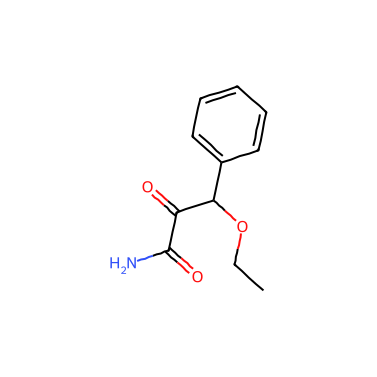 CCOC(C(=O)C(N)=O)c1ccccc1